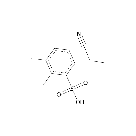 CCC#N.Cc1cccc(S(=O)(=O)O)c1C